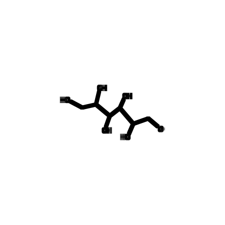 [O]CC(O)C(O)C(O)C(O)CO